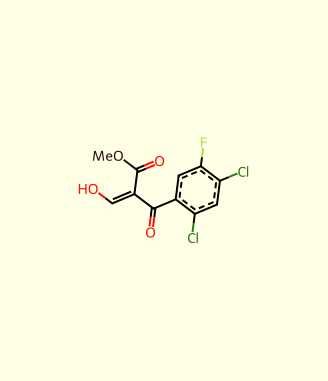 COC(=O)/C(=C\O)C(=O)c1cc(F)c(Cl)cc1Cl